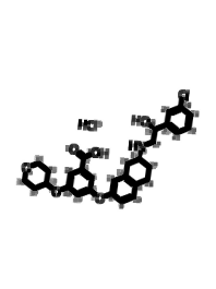 Cl.O=C(O)c1cc(Oc2ccc3c(c2)C[C@@H](NC[C@@H](O)c2cccc(Cl)c2)CC3)cc(OC2CCOCC2)c1